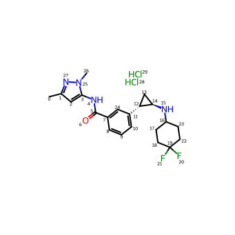 Cc1cc(NC(=O)c2cccc([C@@H]3C[C@H]3NC3CCC(F)(F)CC3)c2)n(C)n1.Cl.Cl